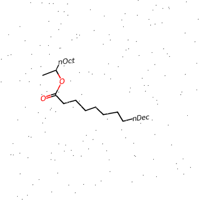 CCCCCCCCCCCCCCCCCC(=O)OC(C)CCCCCCCC